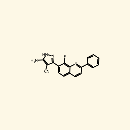 N#Cc1c(-c2ccc3ccc(-c4ccccc4)nc3c2F)n[nH]c1N